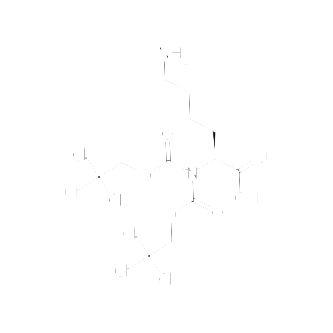 NCCCC[C@@H](C(=O)O)N(C(=O)OCC(Cl)(Cl)Cl)C(=O)OCC(Cl)(Cl)Cl